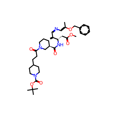 C=C(/C=N\C=C(/C)OCc1ccccc1)[C@H](CC(=O)OC)NC(=O)[C@@H]1CCCN(C(=O)CCC2CCN(C(=O)OC(C)(C)C)CC2)C1